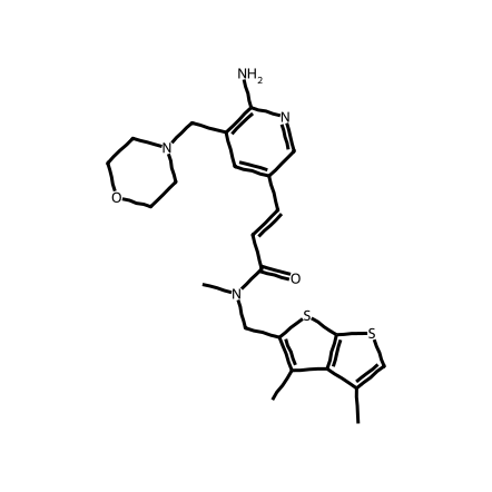 Cc1csc2sc(CN(C)C(=O)/C=C/c3cnc(N)c(CN4CCOCC4)c3)c(C)c12